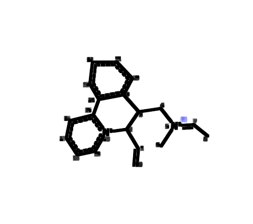 C=CC1C(C/[N+](C)=C/C)c2ccccc2-c2cccc[n+]21